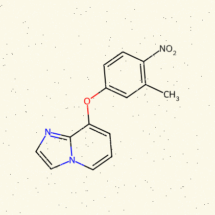 Cc1cc(Oc2cccn3ccnc23)ccc1[N+](=O)[O-]